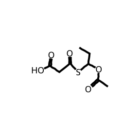 CCC(OC(C)=O)SC(=O)CC(=O)O